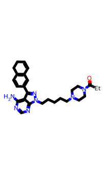 CCC(=O)N1CCN(CCCCCn2nc(-c3ccc4c(c3)C=CCC4)c3c(N)ncnc32)CC1